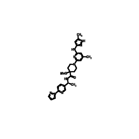 COC1(C(=O)N[C@@H](C)c2ccc(-n3cccn3)nc2)CCN(c2cc(C)cc(Nc3cc(C)[nH]n3)n2)CC1